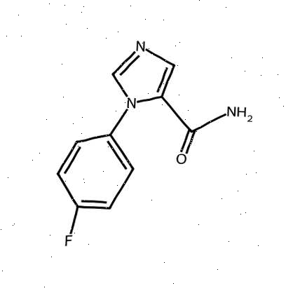 NC(=O)c1cncn1-c1ccc(F)cc1